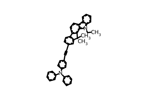 CCn1c2ccccc2c2ccc3c(c21)C(C)(C)c1cc(C#Cc2ccc(N(c4ccccc4)c4ccccc4)cc2)ccc1-3